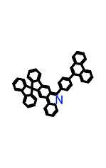 c1ccc2c(c1)-c1ccccc1C21c2ccccc2-c2cc3c(-c4ccc(-c5cc6ccccc6c6ccccc56)cc4)nc4ccccc4c3cc21